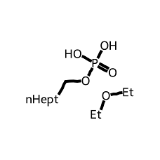 CCCCCCCCOP(=O)(O)O.CCOCC